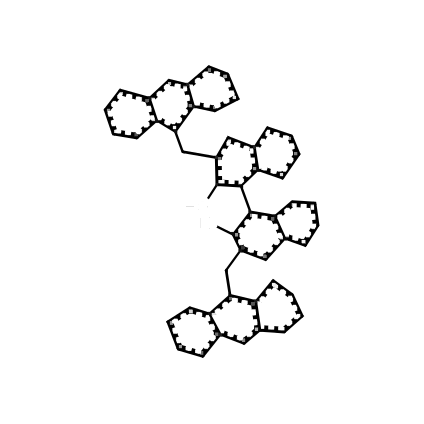 Oc1c(Cc2c3ccccc3cc3ccccc23)cc2ccccc2c1-c1c(O)c(Cc2c3ccccc3cc3ccccc23)cc2ccccc12